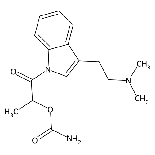 CC(OC(N)=O)C(=O)n1cc(CCN(C)C)c2ccccc21